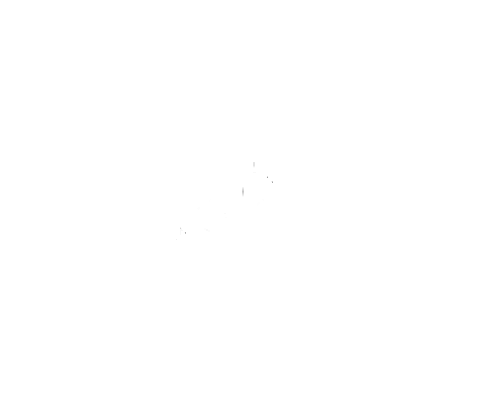 COC(Cn1ccc(-c2ccc(N)cc2)cc1=O)OC